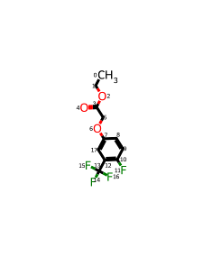 CCOC(=O)COc1ccc(F)c(C(F)(F)F)c1